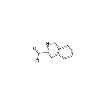 O=C(Cl)c1cc2ccccc2cn1